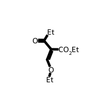 CCO/C=C(/C(=O)CC)C(=O)OCC